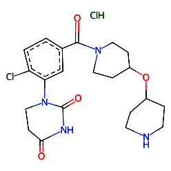 Cl.O=C1CCN(c2cc(C(=O)N3CCC(OC4CCNCC4)CC3)ccc2Cl)C(=O)N1